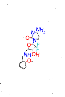 COc1ccccc1CNC[C@H]1O[C@@H](n2ccc(N)nc2=O)C(F)(F)[C@@H]1O